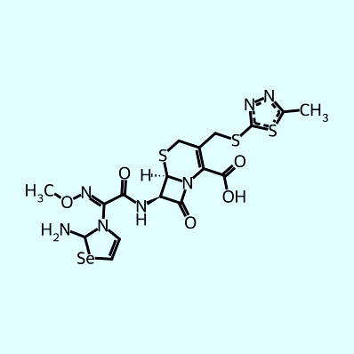 CO/N=C(/C(=O)N[C@@H]1C(=O)N2C(C(=O)O)=C(CSc3nnc(C)s3)CS[C@H]12)N1C=C[Se]C1N